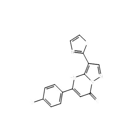 O=c1cc(-c2ccc(Cl)cc2)[nH]c2c(-c3nccs3)cnn12